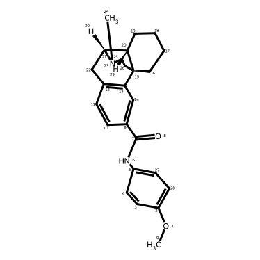 COc1ccc(NC(=O)c2ccc3c(c2)[C@@]24CCCC[C@H]2[C@@H](C3)N(C)CC4)cc1